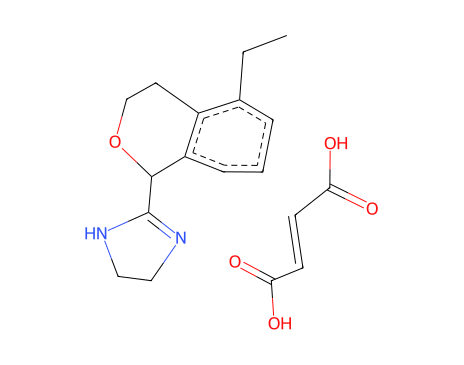 CCc1cccc2c1CCOC2C1=NCCN1.O=C(O)C=CC(=O)O